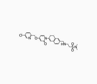 CN(C)S(=O)(=O)CCNCc1ccc2c(c1)CCC(n1ccc(OCc3ccc(Cl)cn3)cc1=O)=C2